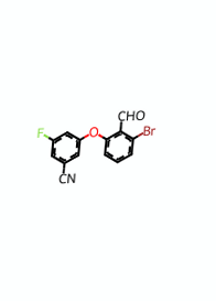 N#Cc1cc(F)cc(Oc2cccc(Br)c2C=O)c1